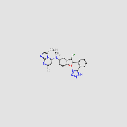 CCc1cc(N(C)c2ccc3oc(-c4ccccc4-c4nnn[nH]4)c(Br)c3c2)n2c(C(=O)O)cnc2n1